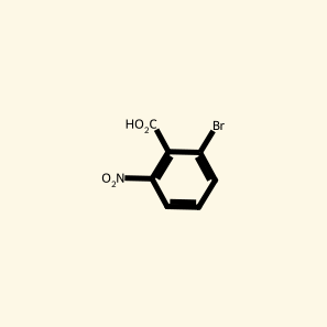 O=C(O)c1c(Br)cccc1[N+](=O)[O-]